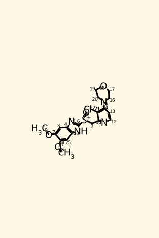 COc1cc2nc([S+]([O-])Cc3nccc(N4CCOCC4)c3Cl)[nH]c2cc1OC